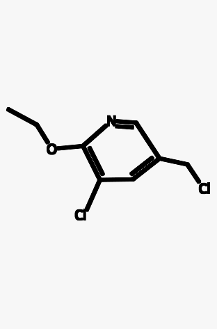 CCOc1ncc(CCl)cc1Cl